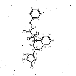 O=C(OCc1ccccc1)S(=O)(=O)N1C[C@H](c2nc(=O)[nH][nH]2)Oc2ccccc21